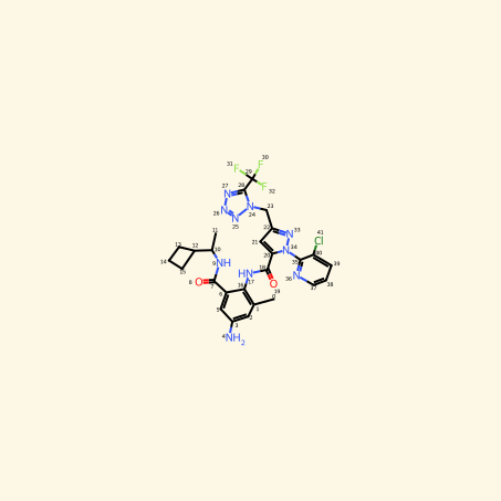 Cc1cc(N)cc(C(=O)NC(C)C2CCC2)c1NC(=O)c1cc(Cn2nnnc2C(F)(F)F)nn1-c1ncccc1Cl